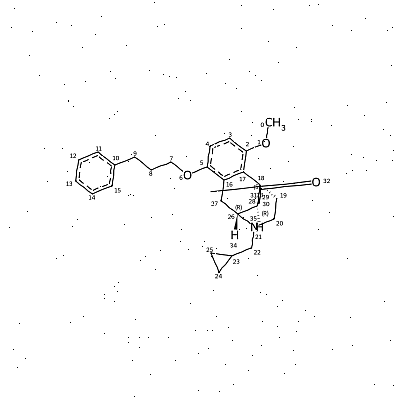 COc1ccc(OCCCc2ccccc2)c2c1[C@]13CCN(CC4CC4)[C@H](C2)[C@@H]1CCC(=O)C3